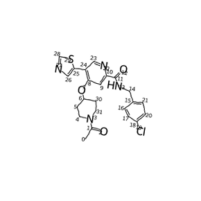 CC(=O)N1CCC(Oc2cc(C(=O)NCc3ccc(Cl)cc3)ncc2-c2cncs2)CC1